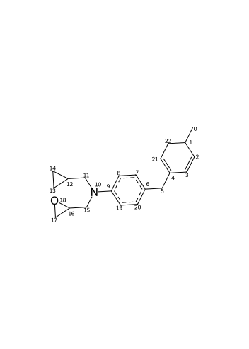 CC1C=CC(Cc2ccc(N(CC3CC3)CC3CO3)cc2)=CC1